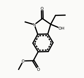 CCC1(O)C(=O)N(C)c2cc(C(=O)OC)ccc21